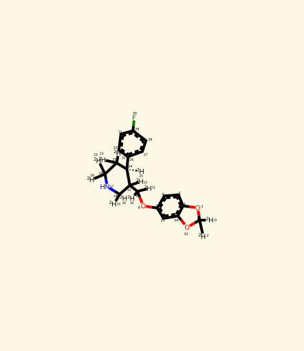 [2H]C1([2H])Oc2ccc(OC([2H])([2H])C3([2H])C([2H])([2H])NC([2H])([2H])C([2H])([2H])[C@@]3([2H])c3ccc(F)cc3)cc2O1